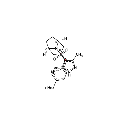 CCCCCCc1ccc(O[C@H]2C[C@H]3CC[C@@H](C2)N3S(=O)(=O)c2c(C)n[nH]c2C)cc1